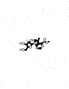 CONc1ncnc2c1c(C)cn2C1OC(CO)C(O)[C@@]1(C)O